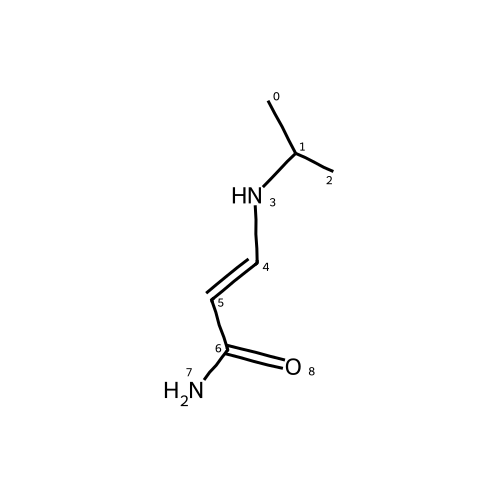 CC(C)N/C=C/C(N)=O